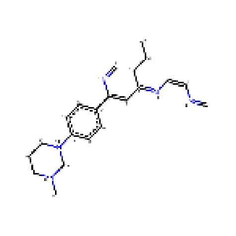 C=N\C=C/N=C(/C=C(\N=C)c1ccc(N2CCCN(C)C2)cc1)CCC